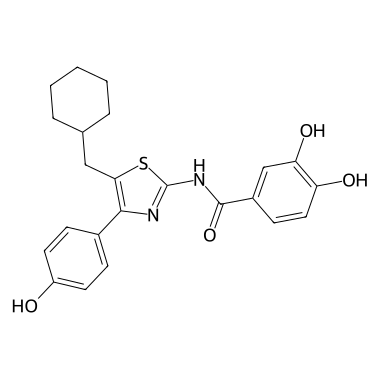 O=C(Nc1nc(-c2ccc(O)cc2)c(CC2CCCCC2)s1)c1ccc(O)c(O)c1